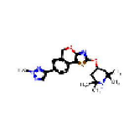 Cn1ncc(-c2ccc3c(c2)COc2nc(OC4CC(C)(C)NC(C)(C)C4)sc2-3)n1